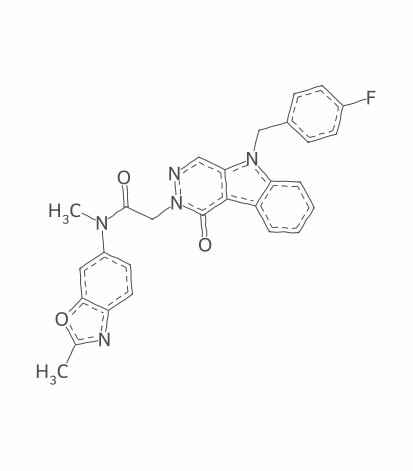 Cc1nc2ccc(N(C)C(=O)Cn3ncc4c(c3=O)c3ccccc3n4Cc3ccc(F)cc3)cc2o1